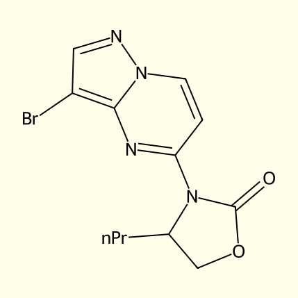 CCCC1COC(=O)N1c1ccn2ncc(Br)c2n1